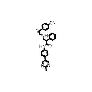 Cc1ncc(-c2ccc(NC(=O)C(CNC[C@H](C)c3ccc(C#N)cc3)c3ccccc3)cc2)cn1